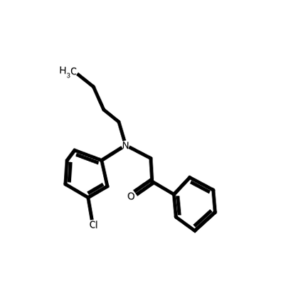 CCCCN(CC(=O)c1ccccc1)c1cccc(Cl)c1